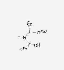 CCCCC(CC)N(C)C(O)CCC